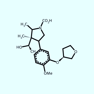 COc1ccc(C2CN(C(=O)O)C(C)[C@]2(C)[C@@H](C)O)cc1O[C@H]1CCOC1